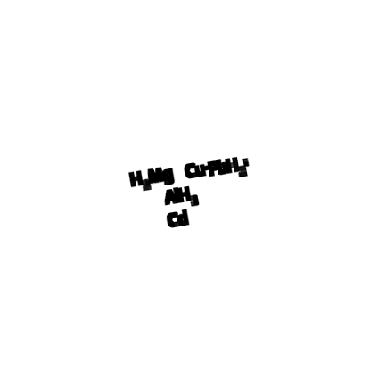 [AlH3].[Cd].[Cu].[MgH2].[PbH2]